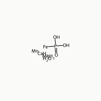 O.O=[P](O)(O)[Fe].[CaH2].[MgH2].[Mn]